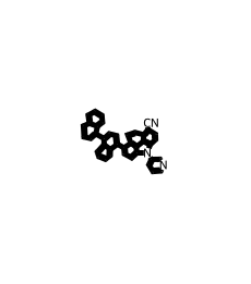 N#Cc1ccc2c3c1ccc1c(-c4ccc(-c5cccc6ccccc56)c5ccccc45)ccc(c13)n2-c1cccnc1